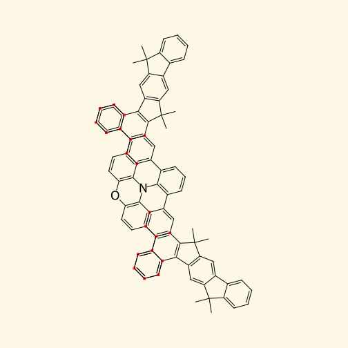 CC1(C)c2ccccc2-c2cc3c(cc21)-c1c(cc(-c2ccc4c(c2)N(c2c(-c5ccc(-c6ccccc6)cc5)cccc2-c2ccc(-c5ccccc5)cc2)c2cc(-c5cc6c(c7ccccc57)-c5cc7c(cc5C6(C)C)-c5ccccc5C7(C)C)ccc2O4)c2ccccc12)C3(C)C